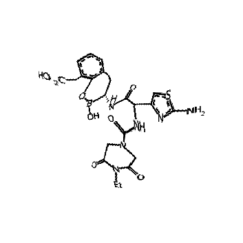 CCN1C(=O)CN(C(=O)NC(C(=O)N[C@H]2Cc3cccc(C(=O)O)c3OB2O)c2csc(N)n2)CC1=O